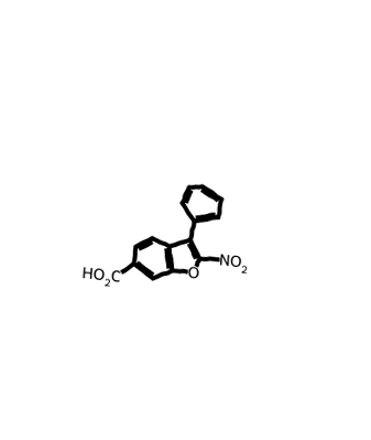 O=C(O)c1ccc2c(-c3ccccc3)c([N+](=O)[O-])oc2c1